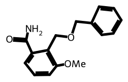 COc1cccc(C(N)=O)c1COCc1ccccc1